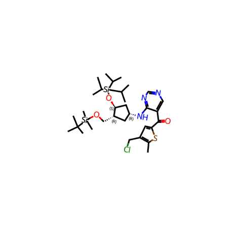 Cc1sc(C(=O)c2cncnc2N[C@@H]2C[C@H](CO[Si](C)(C)C(C)(C)C)[C@@H](O[Si](C(C)C)(C(C)C)C(C)C)C2)cc1CCl